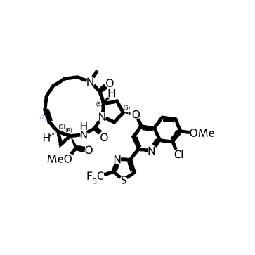 COC(=O)[C@@]12C[C@H]1/C=C\CCCCN(C)C(=O)[C@@H]1C[C@H](Oc3cc(-c4csc(C(F)(F)F)n4)nc4c(Cl)c(OC)ccc34)CN1C(=O)N2